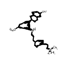 COc1ccc(C2CCc3cc(O)ccc3C2)c(NCCCc2ccc(CCN(C)C)cc2)c1